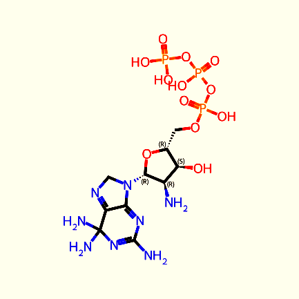 NC1=NC(N)(N)C2=NCN([C@@H]3O[C@H](COP(=O)(O)OP(=O)(O)OP(=O)(O)O)[C@@H](O)[C@H]3N)C2=N1